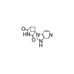 O=C1NC(=O)C2(N3CNc4cnccc43)CC1C2